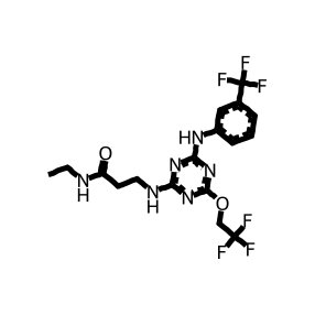 CCNC(=O)CCNc1nc(Nc2cccc(C(F)(F)F)c2)nc(OCC(F)(F)F)n1